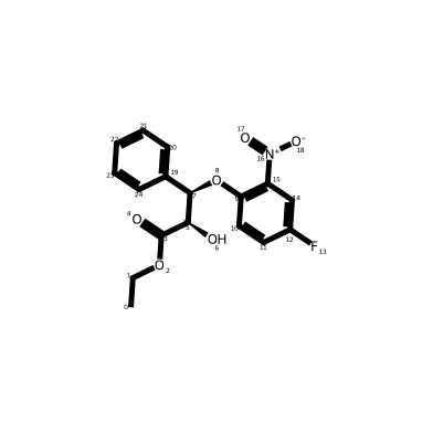 CCOC(=O)[C@H](O)[C@H](Oc1ccc(F)cc1[N+](=O)[O-])c1ccccc1